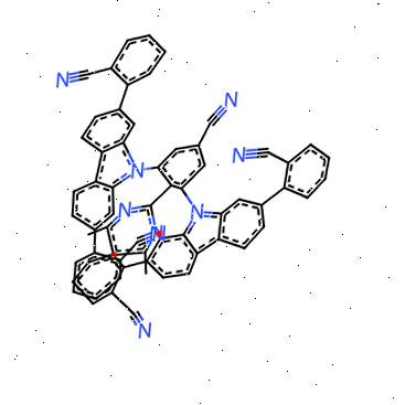 Cc1cc(C)nc(-c2c(-n3c4cc(-c5ccccc5C#N)ccc4c4ccc(-c5ccccc5C#N)cc43)cc(C#N)cc2-n2c3cc(-c4ccccc4C#N)ccc3c3ccc(-c4ccccc4C#N)cc32)n1